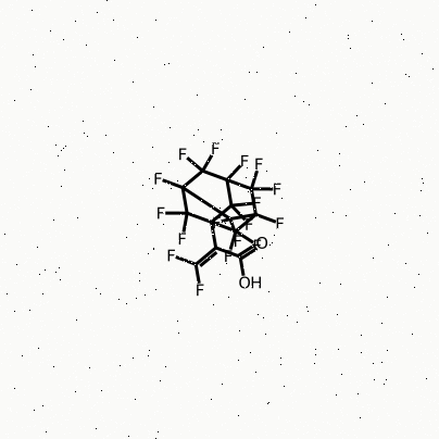 O=C(O)C(=C(F)F)C12C(F)(F)C3(F)C(F)(F)C(F)(C(F)(F)C(F)(C3(F)F)C1(F)F)C2(F)F